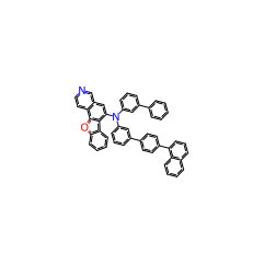 c1ccc(-c2cccc(N(c3cccc(-c4ccc(-c5cccc6ccccc56)cc4)c3)c3cc4cnccc4c4oc5ccccc5c34)c2)cc1